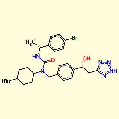 C[C@@H](NC(=O)N(Cc1ccc([C@H](O)Cc2nn[nH]n2)cc1)C1CCC(C(C)(C)C)CC1)c1ccc(Br)cc1